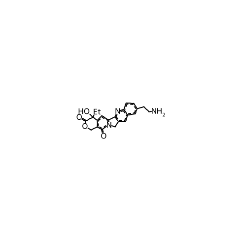 CCC1(O)C(=O)OCc2c1cc1n(c2=O)Cc2cc3cc(CCN)ccc3nc2-1